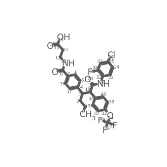 CCCC(c1ccc(C(=O)NCCC(=O)O)cc1)C(C(=O)Nc1ccc(Cl)cc1F)c1ccc(OC(F)(F)F)cc1